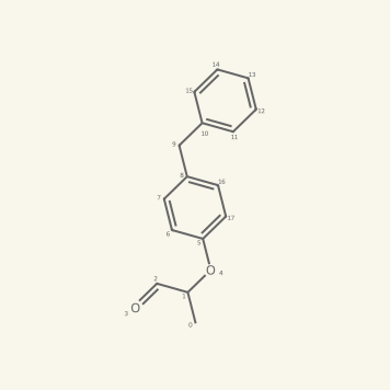 CC(C=O)Oc1ccc(Cc2ccccc2)cc1